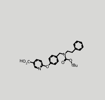 CC(C)(C)OC(=O)N(CCc1ccccc1)Cc1ccc(Oc2ccc(C(=O)O)cn2)cc1